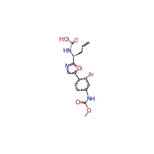 C=CC[C@H](NC(=O)O)c1ncc(-c2ccc(NC(=O)OC)cc2Br)o1